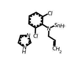 C=CC[N]([SnH])c1c(Cl)cccc1Cl.c1c[nH]cn1